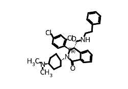 CN(C)[C@H]1CC[C@H](N2C(=O)c3ccccc3[C@@H](C(=O)NCCc3ccccc3)[C@@H]2c2ccc(Cl)cc2Cl)CC1